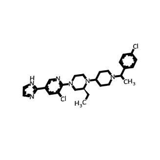 CC[C@H]1CN(c2ncc(-c3ncc[nH]3)cc2Cl)CCN1C1CCN(C(C)c2ccc(Cl)cc2)CC1